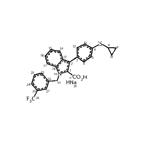 O=C(O)c1c(-c2ccc(SC3CC3)cc2)c2ccccc2n1Cc1cccc(C(F)(F)F)c1.[NaH]